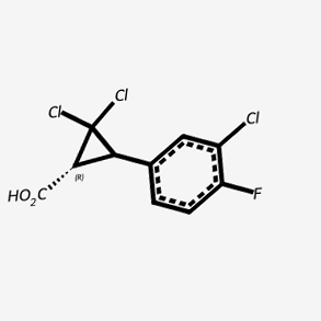 O=C(O)[C@H]1C(c2ccc(F)c(Cl)c2)C1(Cl)Cl